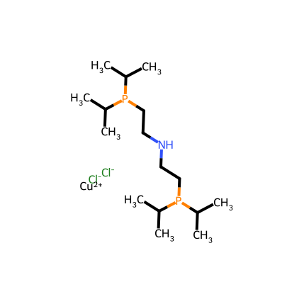 CC(C)P(CCNCCP(C(C)C)C(C)C)C(C)C.[Cl-].[Cl-].[Cu+2]